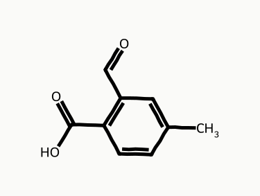 Cc1ccc(C(=O)O)c(C=O)c1